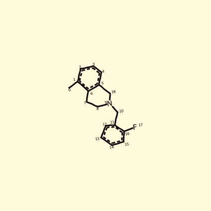 Cc1cccc2c1CCN(Cc1ccccc1F)C2